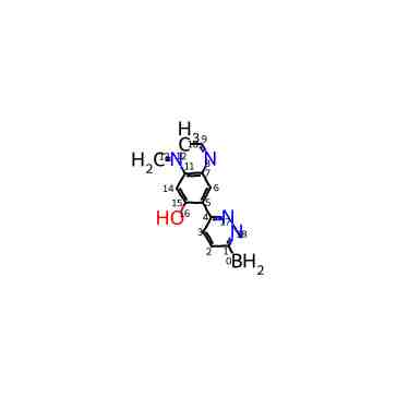 Bc1ccc(-c2cc(/N=C\C)c(N=C)cc2O)nn1